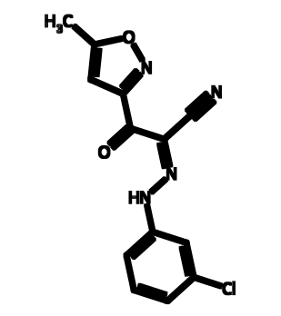 Cc1cc(C(=O)C(C#N)=NNc2cccc(Cl)c2)no1